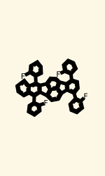 Fc1ccccc1-c1ccc(-c2ccccc2F)c2c1-c1ccc3c4c(ccc-2c14)-c1c-3c(-c2ccccc2F)c2ccccc2c1-c1ccccc1F